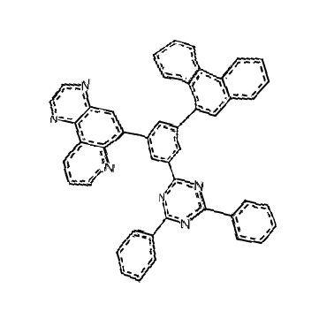 c1ccc(-c2nc(-c3ccccc3)nc(-c3cc(-c4cc5ccccc5c5ccccc45)cc(-c4cc5nccnc5c5cccnc45)c3)n2)cc1